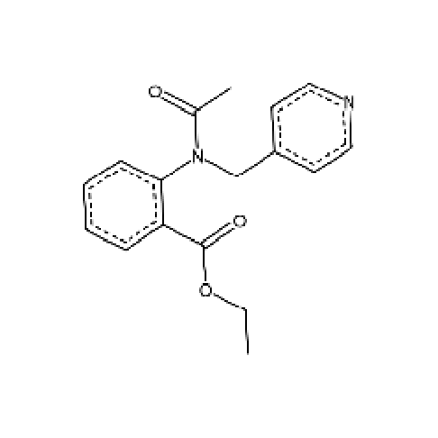 CCOC(=O)c1ccccc1N(Cc1ccncc1)C(C)=O